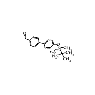 CC(C)(C)[Si](C)(C)Oc1ccc(-c2ccc(C=O)cc2)cc1